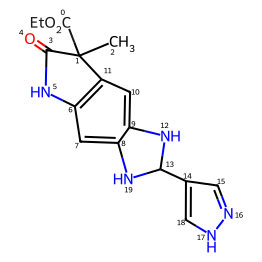 CCOC(=O)C1(C)C(=O)Nc2cc3c(cc21)NC(c1cn[nH]c1)N3